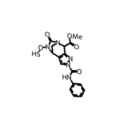 COC(=O)C1c2nn(C(=O)Nc3ccccc3)cc2C2CN1C(=O)N2OS